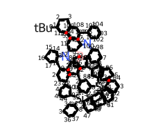 CC(C)(C)c1cccc(-c2cc3c4c(c2)N(c2ccccc2-c2ccccc2)c2ccc(-c5cc([Si](c6ccccc6)(c6ccccc6)c6cccc(-c7ccccc7)c6)cc([Si](c6ccccc6)(c6ccccc6)c6cccc(-c7ccccc7)c6)c5)cc2B4c2cc(-c4ccccc4)ccc2N3c2ccccc2-c2ccccc2)c1